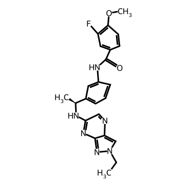 CCn1cc2ncc(N[C@@H](C)c3cccc(NC(=O)c4ccc(OC)c(F)c4)c3)nc2n1